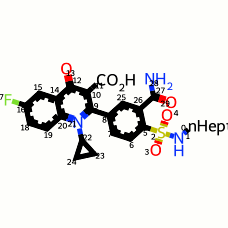 CCCCCCCNS(=O)(=O)c1ccc(-c2c(C(=O)O)c(=O)c3cc(F)ccc3n2C2CC2)cc1C(N)=O